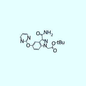 CC(C)(C)OC(=O)Cn1nc(C(N)=O)c2cc(Oc3ncccn3)ccc21